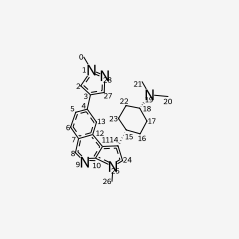 Cn1cc(-c2ccc3cnc4c(c3c2)c([C@H]2CC[C@@H](N(C)C)CC2)cn4C)cn1